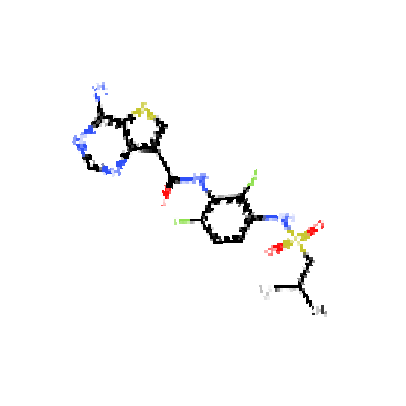 CC(C)CS(=O)(=O)Nc1ccc(F)c(NC(=O)c2csc3c(N)ncnc23)c1F